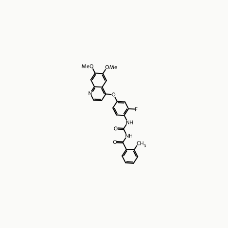 COc1cc2nccc(Oc3ccc(NC(=O)NC(=O)c4ccccc4C)c(F)c3)c2cc1OC